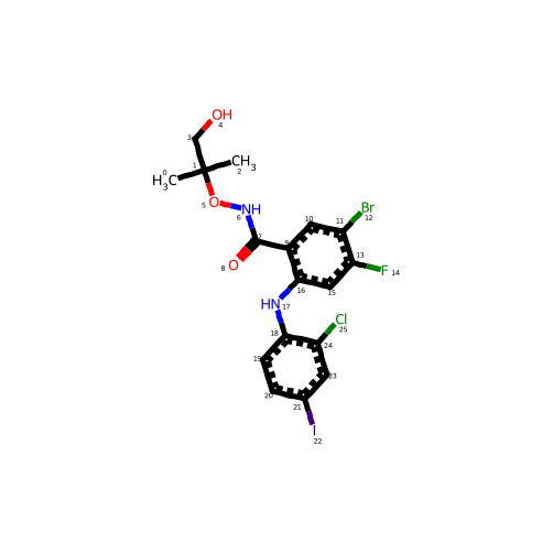 CC(C)(CO)ONC(=O)c1cc(Br)c(F)cc1Nc1ccc(I)cc1Cl